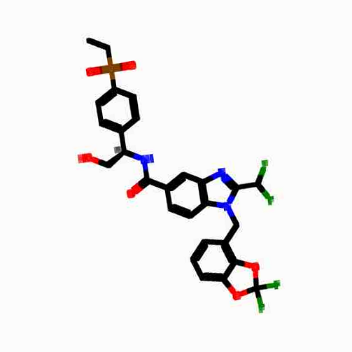 CCS(=O)(=O)c1ccc([C@H](CO)NC(=O)c2ccc3c(c2)nc(C(F)F)n3Cc2cccc3c2OC(F)(F)O3)cc1